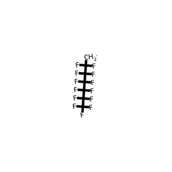 [CH2]C(F)(F)C(F)(F)C(F)(F)C(F)(F)C(F)(F)C(F)(F)F